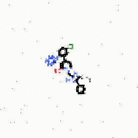 Cc1nc(Cn2ccc(-c3cc(Cl)ccc3-n3cnnn3)cc2=O)[nH]c1-c1cc[c]cc1